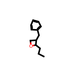 CCCC1OCC1Cc1ccccc1